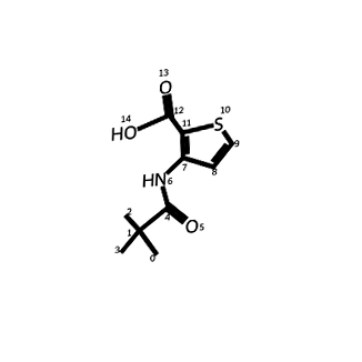 CC(C)(C)C(=O)Nc1ccsc1C(=O)O